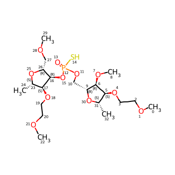 COCCO[C@@H]1[C@H](OC)[C@@H](COP(=O)(S)O[C@H]2[C@@H](OCCOC)[C@H](C)O[C@@H]2COC)O[C@H]1C